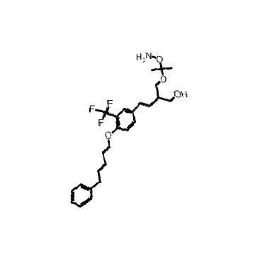 CC(C)(ON)OCC(CO)CCc1ccc(OCCCCCc2ccccc2)c(C(F)(F)F)c1